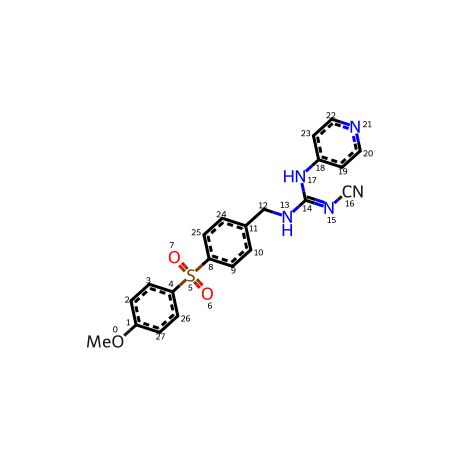 COc1ccc(S(=O)(=O)c2ccc(CNC(=NC#N)Nc3ccncc3)cc2)cc1